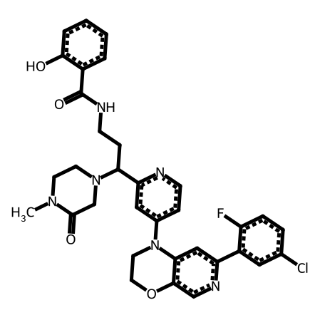 CN1CCN(C(CCNC(=O)c2ccccc2O)c2cc(N3CCOc4cnc(-c5cc(Cl)ccc5F)cc43)ccn2)CC1=O